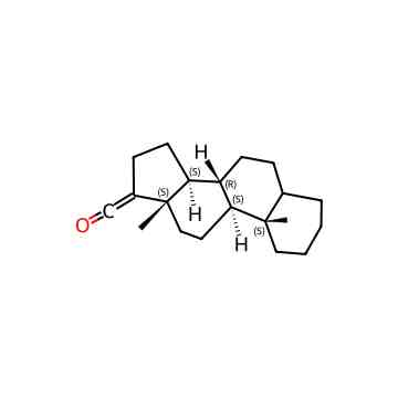 C[C@]12CCCCC1CC[C@@H]1[C@@H]2CC[C@]2(C)C(=C=O)CC[C@@H]12